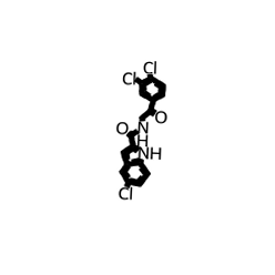 O=C(CNC(=O)c1cc2cc(Cl)ccc2[nH]1)c1ccc(Cl)c(Cl)c1